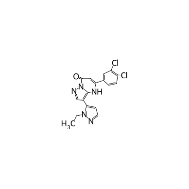 CCn1nccc1-c1cnn2c(=O)cc(-c3ccc(Cl)c(Cl)c3)[nH]c12